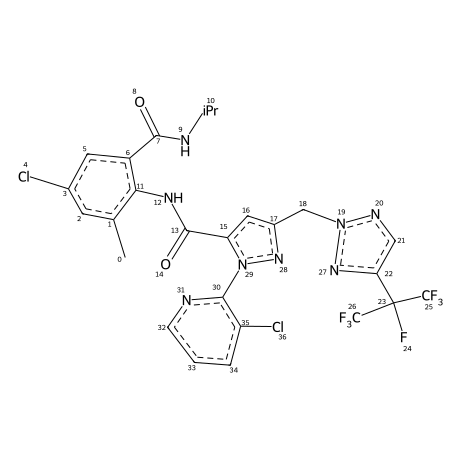 Cc1cc(Cl)cc(C(=O)NC(C)C)c1NC(=O)c1cc(Cn2ncc(C(F)(C(F)(F)F)C(F)(F)F)n2)nn1-c1ncccc1Cl